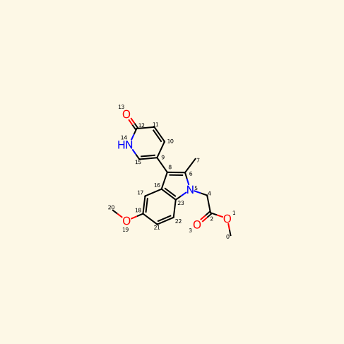 COC(=O)Cn1c(C)c(-c2ccc(=O)[nH]c2)c2cc(OC)ccc21